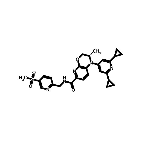 C[C@H]1COc2nc(C(=O)NCc3ccc(S(C)(=O)=O)cn3)ccc2N1c1cc(C2CC2)nc(C2CC2)c1